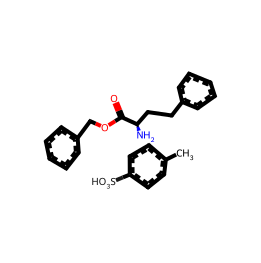 Cc1ccc(S(=O)(=O)O)cc1.N[C@H](CCc1ccccc1)C(=O)OCc1ccccc1